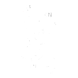 N#CC(C#N)=C1c2cc(OC(F)(F)F)ccc2-c2c1ccc1c3c(ccc21)C(=C(C#N)C#N)c1cc(C(F)(F)F)ccc1-3